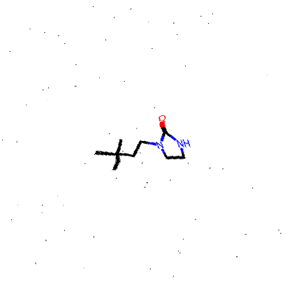 CC(C)(C)CCN1CCNC1=O